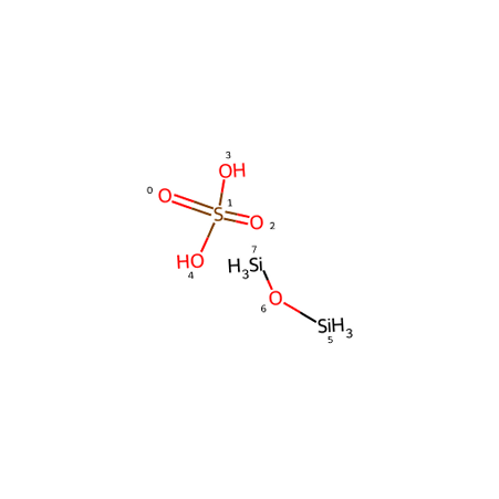 O=S(=O)(O)O.[SiH3]O[SiH3]